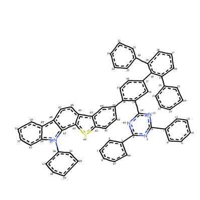 c1ccc(-c2nc(-c3ccccc3)nc(-c3cc(-c4c(-c5ccccc5)cccc4-c4ccccc4)ccc3-c3ccc4sc5c(ccc6c7ccccc7n(-c7ccccc7)c65)c4c3)n2)cc1